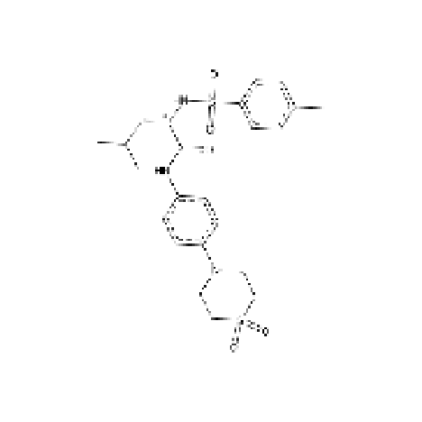 Cc1ccc(S(=O)(=O)N[C@@H](CC(C)C)C(=O)Nc2ccc(N3CCS(=O)(=O)CC3)cc2)cc1